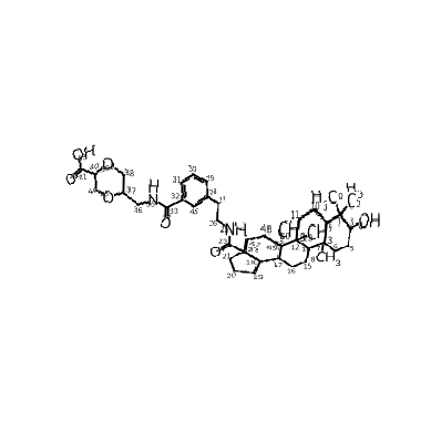 CC1(C)C(O)CCC2(C)C1CCC1(C)C2CCC2C3CCCC3(C(=O)NCCc3cccc(C(=O)NCC4COC(C(=O)O)CO4)c3)CC[C@]21C